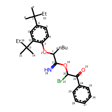 CCCCC(Oc1ccc(C(C)(C)CC)cc1C(C)(C)CC)C(=N)OC(Br)C(=O)c1ccccc1